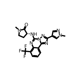 CN1CC[C@@H](Nc2nc3c(C(F)(F)F)cccc3c3nc(-c4cnn(C)c4)nn23)C1=O